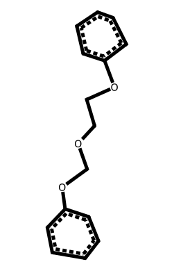 c1ccc(OCCOCOc2ccccc2)cc1